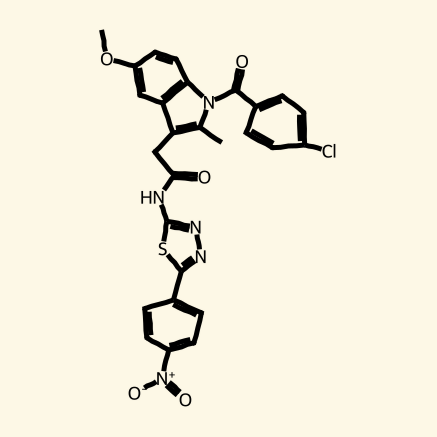 COc1ccc2c(c1)c(CC(=O)Nc1nnc(-c3ccc([N+](=O)[O-])cc3)s1)c(C)n2C(=O)c1ccc(Cl)cc1